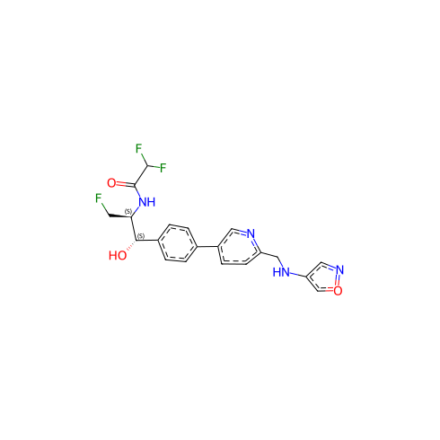 O=C(N[C@H](CF)[C@@H](O)c1ccc(-c2ccc(CNc3cnoc3)nc2)cc1)C(F)F